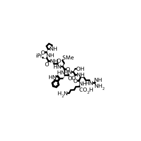 CSCC[C@H](NC(=O)CNC(=O)[C@H](CC(C)C)NC(=O)[C@@H]1CCCN1)C(=O)N[C@@H](Cc1c[nH]c2ccccc12)C(=O)N[C@@H](CO)C(=O)N[C@@H](CCCNC(=N)N)C(=O)N[C@@H](CCCCN)C(=O)O